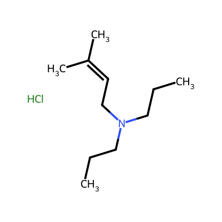 CCCN(CC=C(C)C)CCC.Cl